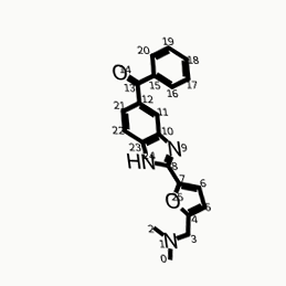 CN(C)Cc1ccc(-c2nc3cc(C(=O)c4ccccc4)ccc3[nH]2)o1